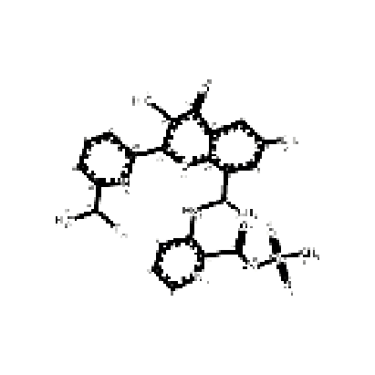 Cc1cc([C@@H](C)Nc2cccnc2C(=O)NS(C)(=O)=O)c2oc(-c3cccc(C(C)F)n3)c(C)c(=O)c2c1